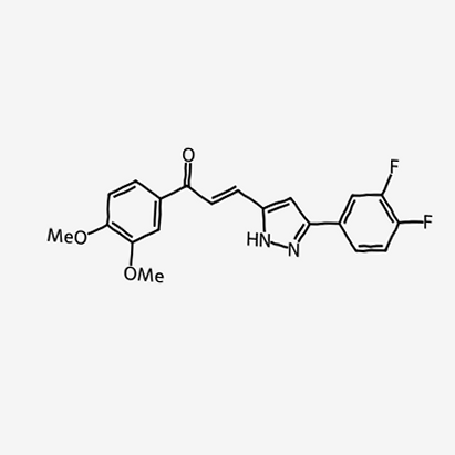 COc1ccc(C(=O)C=Cc2cc(-c3ccc(F)c(F)c3)n[nH]2)cc1OC